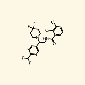 O=C(NCC(c1cnc(C(F)F)nc1)N1CCC(F)(F)CC1)c1cccc(Cl)c1Cl